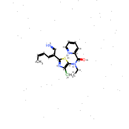 C/C=C\C=C(/C=N)c1nc(Cl)c(N(CC)C(=O)c2ccccn2)s1